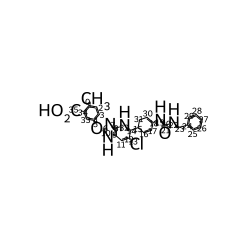 Cc1ccc(Oc2nc3c([nH]2)C=C(Cl)C(C2C=CC(NC(=O)NCc4ccccc4)=CC2)N3)cc1C(=O)O